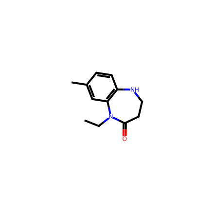 CCN1C(=O)CCNc2ccc(C)cc21